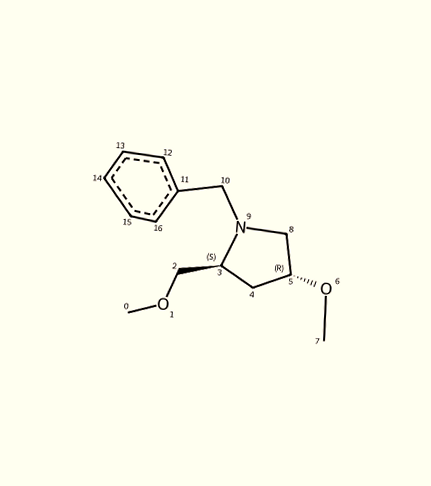 COC[C@@H]1C[C@@H](OC)CN1Cc1ccccc1